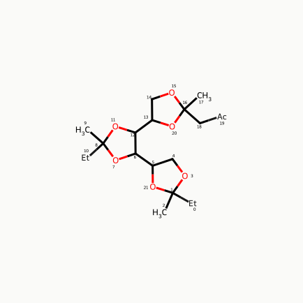 CCC1(C)OCC(C2OC(C)(CC)OC2C2COC(C)(CC(C)=O)O2)O1